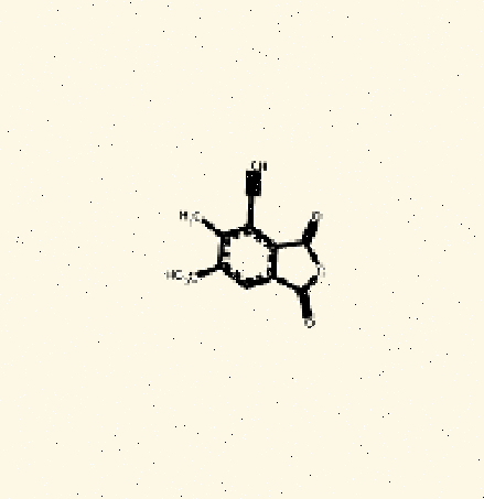 C#Cc1c(C)c(C(=O)O)cc2c1C(=O)OC2=O